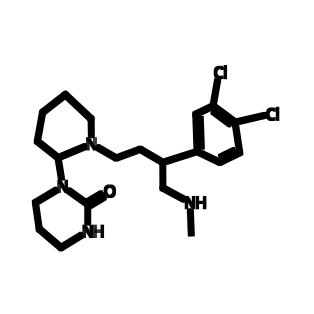 CNCC(CCN1CCCCC1N1CCCNC1=O)c1ccc(Cl)c(Cl)c1